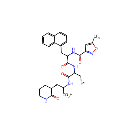 CC(C)CC(NC(=O)C(Cc1cccc2ccccc12)NC(=O)c1cc(C(F)(F)F)on1)C(=O)NC(C[C@@H]1CCCNC1=O)C(=O)O